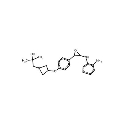 CC(C)(O)CN1CC(Oc2ccc(C3OC3Nc3ccccc3N)cc2)C1